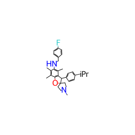 Cc1c(C)c2c(c(C)c1NCc1ccc(F)cc1)C(c1ccc(C(C)C)cc1)C1(CCN(C)CC1)O2